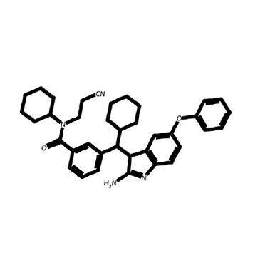 N#CCCN(C(=O)c1cccc(C(C2CCCCC2)C2C(N)=Nc3ccc(Oc4ccccc4)cc32)c1)C1CCCCC1